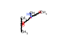 CCCCCCCCC(CCCCCC)C(=O)OCCCCCCCCCN(CCCCCCCCCOC)CCNC